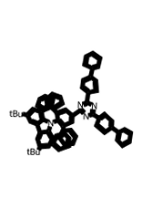 CC(C)(C)c1cc(-c2ccccc2)c2c(c1)c1cc(C(C)(C)C)cc(-c3ccccc3)c1n2-c1c(-c2ccccc2)cc(-c2nc(-c3ccc(-c4ccccc4)cc3)nc(-c3ccc(-c4ccccc4)cc3)n2)cc1-c1ccccc1